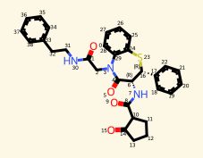 O=C(CN1C(=O)[C@@H](NC(=O)C2CCCC2=O)[C@@H](c2ccccc2)Sc2ccccc21)NCCc1ccccc1